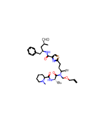 C=CCOCN(C(=O)[C@@H](NC(=O)C1CCCCN1C)C(C)CC)C(CCc1nc(C(=O)N[C@@H](Cc2ccccc2)C[C@H](C)C=O)cs1)C(C)C